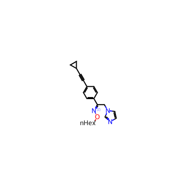 CCCCCCO/N=C(\Cn1ccnc1)c1ccc(C#CC2CC2)cc1